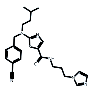 CC(C)CCN(Cc1ccc(C#N)cc1)c1ncc(C(=O)NCCCn2ccnc2)s1